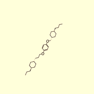 CCCC[C@H]1CC[C@H](COc2ccc(OCCC[C@H]3CC[C@H](CCC)CC3)cc2)CC1